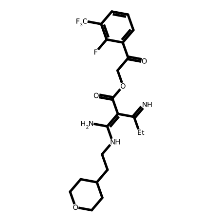 CCC(=N)/C(C(=O)OCC(=O)c1cccc(C(F)(F)F)c1F)=C(/N)NCCC1CCOCC1